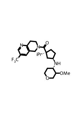 COC1COCC[C@@H]1N[C@@H]1CC[C@@](C(=O)N2CCc3ncc(C(F)(F)F)cc3C2)(C(C)C)C1